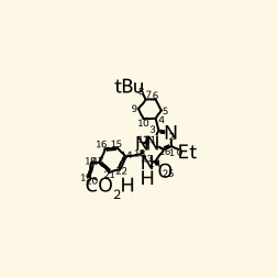 CCc1nc(C2CCC(C(C)(C)C)CC2)n2nc(-c3ccc(/C=C\C(=O)O)cc3)[nH]c(=O)c12